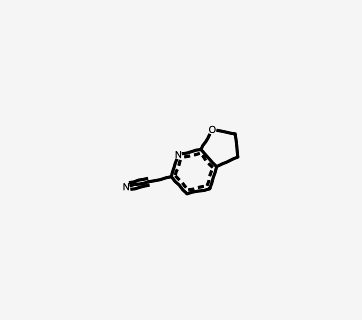 N#Cc1ccc2c(n1)OCC2